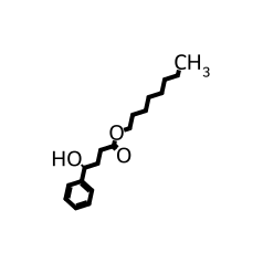 CCCCCCCCOC(=O)CC[C@@H](O)c1ccccc1